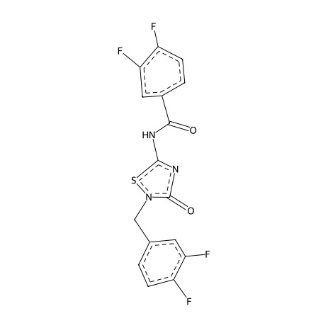 O=C(Nc1nc(=O)n(Cc2ccc(F)c(F)c2)s1)c1ccc(F)c(F)c1